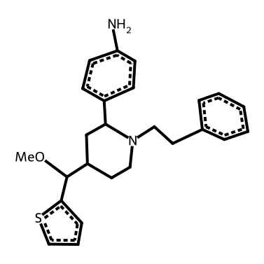 COC(c1cccs1)C1CCN(CCc2ccccc2)C(c2ccc(N)cc2)C1